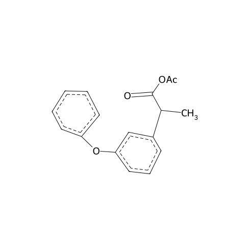 CC(=O)OC(=O)C(C)c1cccc(Oc2ccccc2)c1